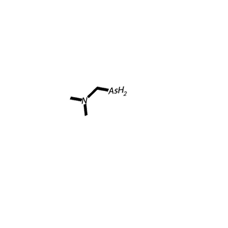 CN(C)C[AsH2]